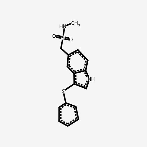 CNS(=O)(=O)Cc1ccc2[nH]cc(Sc3ccccc3)c2c1